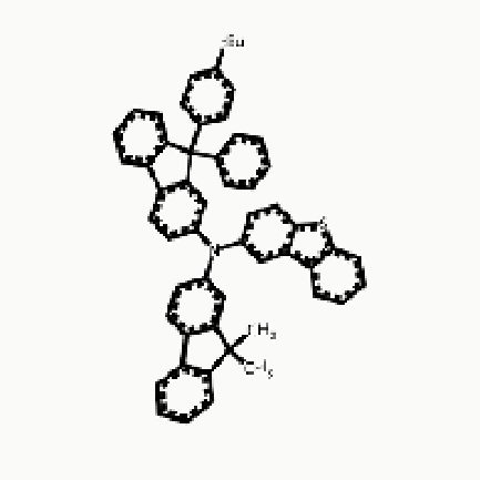 CC(C)(C)c1ccc(C2(c3ccccc3)c3ccccc3-c3ccc(N(c4ccc5c(c4)C(C)(C)c4ccccc4-5)c4ccc5sc6ccccc6c5c4)cc32)cc1